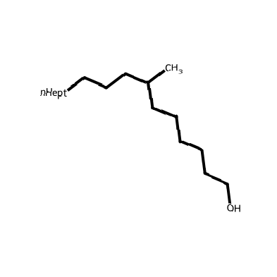 CCCCCCCCCCC(C)CCCCCCO